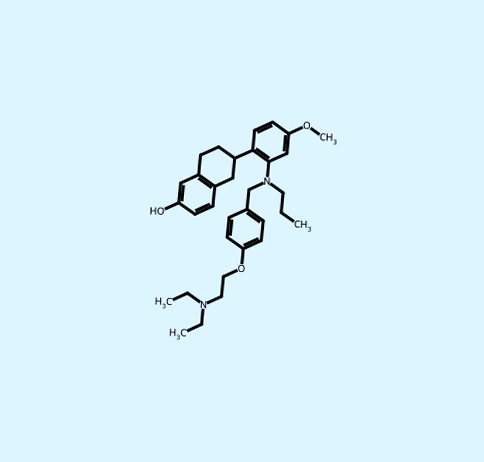 CCCN(Cc1ccc(OCCN(CC)CC)cc1)c1cc(OC)ccc1C1CCc2cc(O)ccc2C1